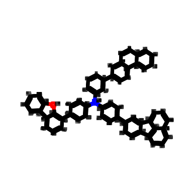 c1cc(-c2ccc3c(ccc4ccccc43)c2)cc(N(c2ccc(-c3ccc4c(c3)-c3cccc5cccc-4c35)cc2)c2ccc(-c3cccc4c3oc3ccccc34)cc2)c1